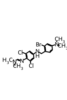 CN(C)C=Nc1c(Cl)cc(NCc2ccc(N(C)C)cc2Br)cc1Cl